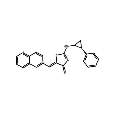 O=C1N=C(NC2C[C@H]2c2ccccc2)S/C1=C\c1ccc2ncccc2n1